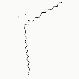 CCCCCCCCCCCCC/C=C/[C@@H](O)[C@H](COP(=O)(O)O)NC(=O)CCCCCCCCCCC